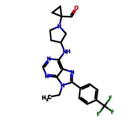 CCn1c(-c2ccc(C(F)(F)F)cc2)nc2c(NC3CCN(C4(C=O)CC4)C3)ncnc21